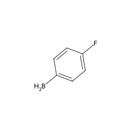 Bc1ccc(F)cc1